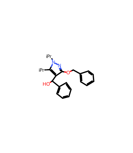 CC(C)c1c(C(O)c2ccccc2)c(OCc2ccccc2)nn1C(C)C